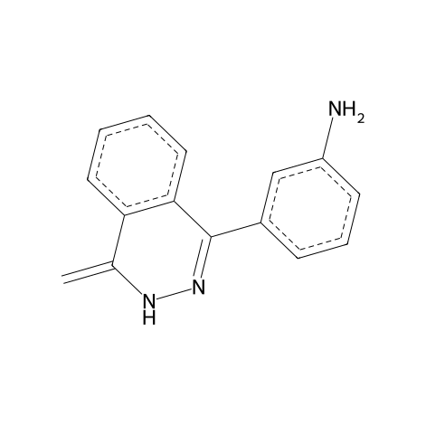 C=C1NN=C(c2cccc(N)c2)c2ccccc21